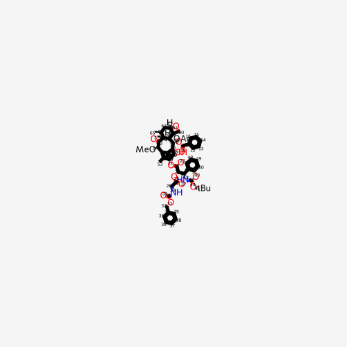 CO[C@H]1C(=O)[C@@]2(C)[C@H]([C@H](OC(=O)c3ccccc3)[C@]3(O)C[C@H](OC(=O)[C@H](OC(=O)CNC(=O)OCc4ccccc4)[C@@H](NC(=O)OC(C)(C)C)c4ccccc4)C(C)=C1C3(C)C)[C@]1(OC(C)=O)CO[C@@H]1C[C@@H]2C